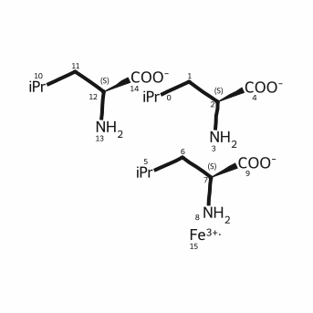 CC(C)C[C@H](N)C(=O)[O-].CC(C)C[C@H](N)C(=O)[O-].CC(C)C[C@H](N)C(=O)[O-].[Fe+3]